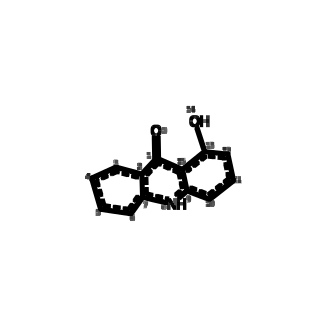 O=c1c2ccccc2[nH]c2cccc(O)c12